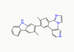 Cc1cc2c(cc1-c1cc3c4ccncc4n4ccnc4c3cc1C)[nH]c1ccccc12